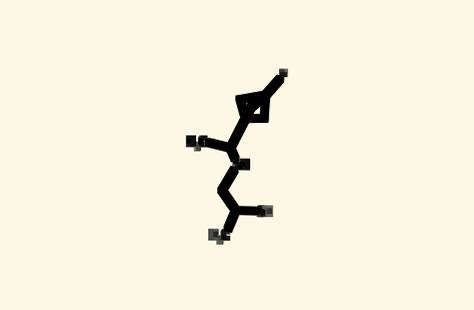 CC(S)CNC(C)C12CC(F)(C1)C2